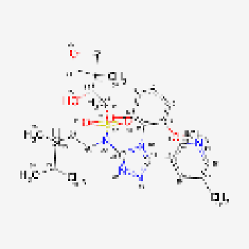 COc1cccc(OC)c1-n1c(-c2cncc(C)c2)nnc1N(CC[SiH](C)C(C)C)S(=O)(=O)C[C@H](O)C1(C)COC1